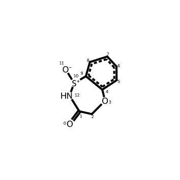 O=C1COc2ccccc2[S+]([O-])N1